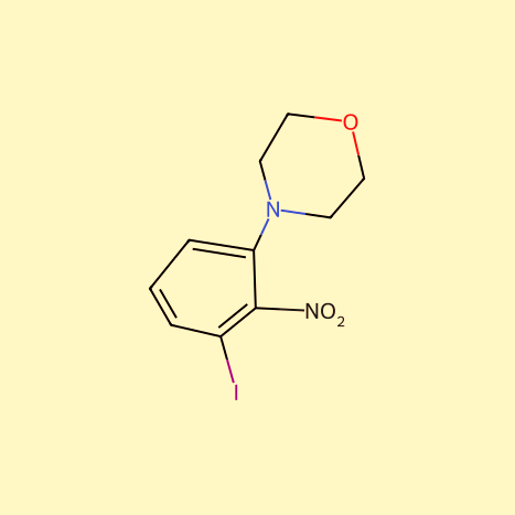 O=[N+]([O-])c1c(I)cccc1N1CCOCC1